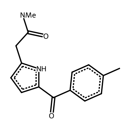 CNC(=O)Cc1ccc(C(=O)c2ccc(C)cc2)[nH]1